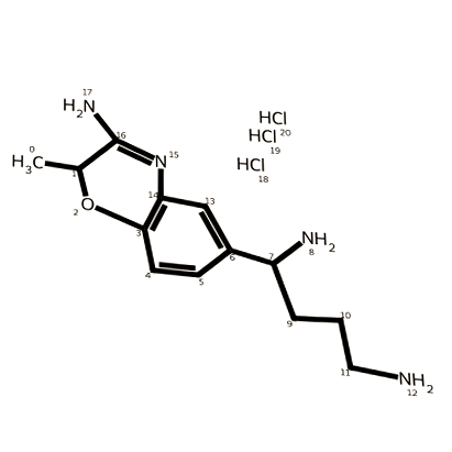 CC1Oc2ccc(C(N)CCCN)cc2N=C1N.Cl.Cl.Cl